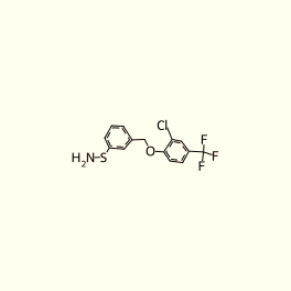 NSc1cccc(COc2ccc(C(F)(F)F)cc2Cl)c1